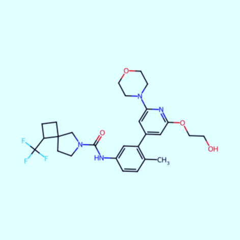 Cc1ccc(NC(=O)N2CCC3(CCC3C(F)(F)F)C2)cc1-c1cc(OCCO)nc(N2CCOCC2)c1